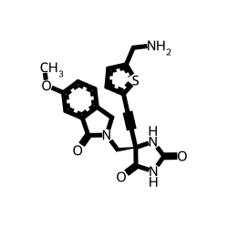 COc1ccc2c(c1)C(=O)N(C[C@@]1(C#Cc3ccc(CN)s3)NC(=O)NC1=O)C2